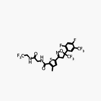 Cc1cc(C2=NOC(c3cc(C(F)(F)F)c(F)cc3F)(C(F)(F)F)C2)sc1C(=O)NCC(=O)NCC(F)(F)F